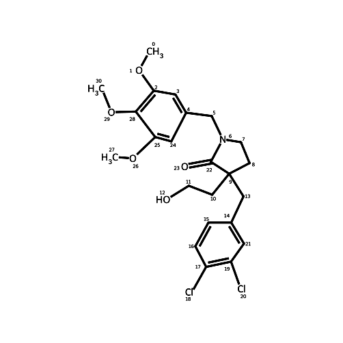 COc1cc(CN2CCC(CCO)(Cc3ccc(Cl)c(Cl)c3)C2=O)cc(OC)c1OC